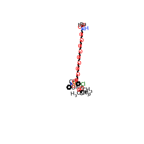 COc1ccccc1N(C)S(=O)(=O)c1cc(B2OC(C)(C)C(C)(C)O2)c(Cl)cc1OCCOCCOCCOCCOCCOCCOCCOCCOCCNC(=O)OC(C)(C)C